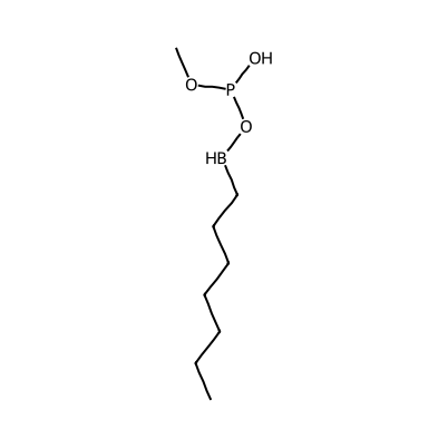 CCCCCCCBOP(O)OC